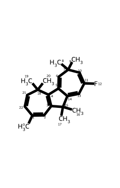 CC1=CC2=C(C3=CC(C)(C)C=C(F)C=C3C2(C)C)C(C)(C)C=C1